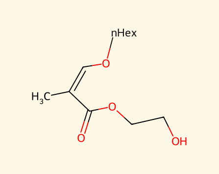 CCCCCCOC=C(C)C(=O)OCCO